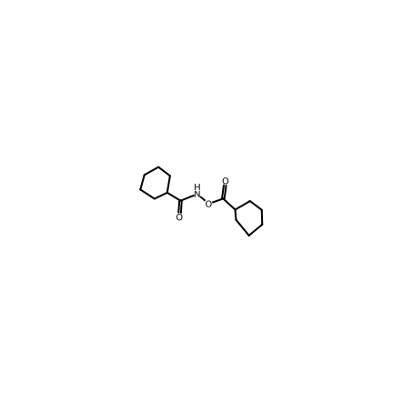 O=C(NOC(=O)C1CCCCC1)C1CCCCC1